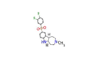 CN1CC[C@@H]2c3cc(S(=O)(=O)c4ccc(F)c(F)c4)ccc3N[C@@H]2CC1